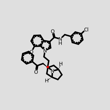 COc1cccc2c(C(=O)NCc3cccc(Cl)c3)cn(CCCN3[C@@H]4CC[C@H]3C[C@@H](CC(=O)c3ccccc3)C4)c12